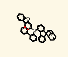 c1ccc(-c2ccccc2N(c2ccc3c(c2)oc2ccccc23)c2cccc3c2-c2ccccc2C32C3CCC4CC(C3)CC2C4)cc1